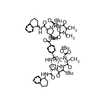 C[C@@H](C(=O)N[C@H](C(=O)N1C[C@@H](NC(=O)c2ccc(C(=O)N[C@H]3C[C@@H](C(=O)N[C@@H]4CCCc5ccccc54)N(C(=O)[C@@H](NC(=O)[C@H](C)N(C)C(=O)OC(C)(C)C)C(C)(C)C)C3)cc2)C[C@H]1C(=O)NC1CCCc2ccccc21)C(C)(C)C)N(C)C(=O)OC(C)(C)C